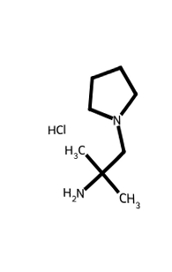 CC(C)(N)CN1CCCC1.Cl